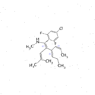 C\C=C/C(=C\CC)C(/C=C(C)C)=C(/NC)c1c(F)cc(Cl)cc1F